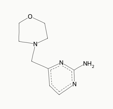 Nc1nccc(CN2CCOCC2)n1